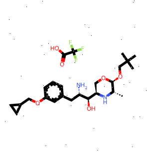 C[C@@H]1N[C@@H]([C@@H](O)[C@@H](N)Cc2cccc(OCC3CC3)c2)CO[C@H]1OCC(C)(C)C.O=C(O)C(F)(F)F